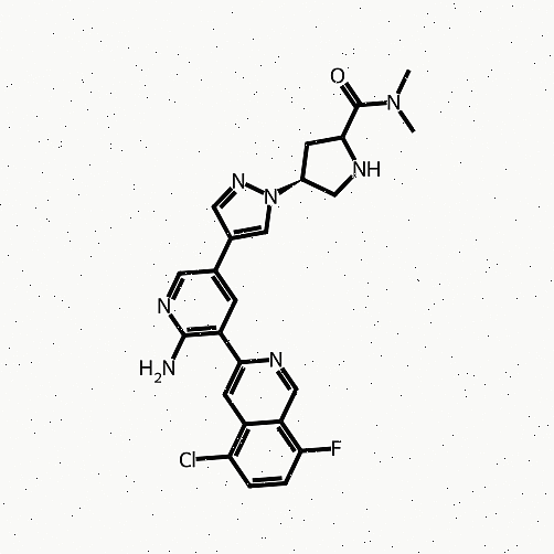 CN(C)C(=O)C1C[C@H](n2cc(-c3cnc(N)c(-c4cc5c(Cl)ccc(F)c5cn4)c3)cn2)CN1